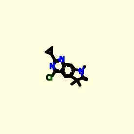 C=C1N(C)c2cc3nc(C4CC4)nc(Cl)c3cc2C1(C)C